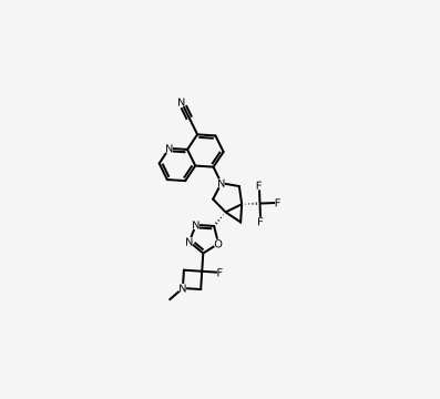 CN1CC(F)(c2nnc([C@]34CN(c5ccc(C#N)c6ncccc56)C[C@@]3(C(F)(F)F)C4)o2)C1